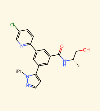 CC(C)n1nccc1-c1cc(C(=O)N[C@@H](C)CO)cc(-c2ccc(Cl)cn2)c1